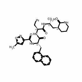 Cc1cc(C(=O)N[C@@H](Cc2cccc3ccccc23)C(=O)N[C@@H](CC(C)C)C(=O)N[C@@H](C[C@@H]2CCCNC2=O)C(=O)O)no1